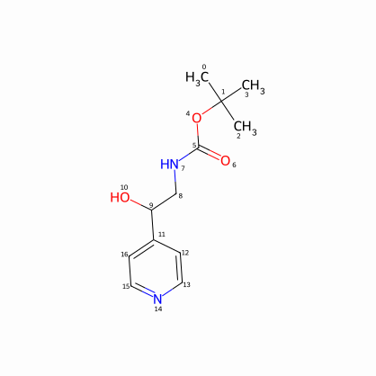 CC(C)(C)OC(=O)NCC(O)c1ccncc1